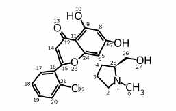 CN1CC[C@H](c2c(O)cc(O)c3c(=O)cc(-c4ccccc4Cl)oc23)[C@H]1CO